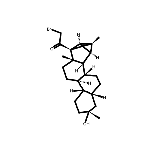 C[C@@]1(O)CC[C@H]2[C@H](CC[C@@H]3[C@@H]2CC[C@@]2(C)[C@H]3[C@H]3[C@@H]4[C@@]3(C)[C@@]42C(=O)CBr)C1